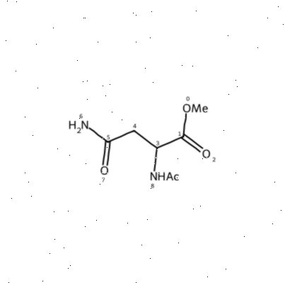 COC(=O)C(CC(N)=O)NC(C)=O